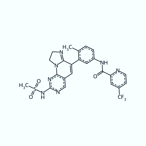 Cc1ccc(NC(=O)c2cc(C(F)(F)F)ccn2)cc1C1=Cc2cnc(NS(C)(=O)=O)nc2N2CCN=C12